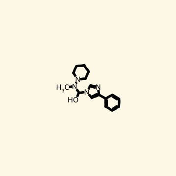 CN(C(O)n1cnc(-c2ccccc2)c1)N1CCCCC1